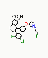 O=C(O)c1ccc2c(c1)CCCC(c1ccc(Cl)cc1F)=C2c1cccc(OC2CCN(CCCF)C2)c1